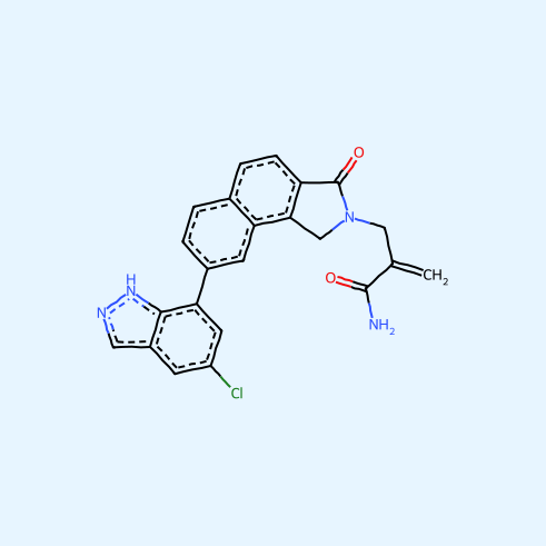 C=C(CN1Cc2c(ccc3ccc(-c4cc(Cl)cc5cn[nH]c45)cc23)C1=O)C(N)=O